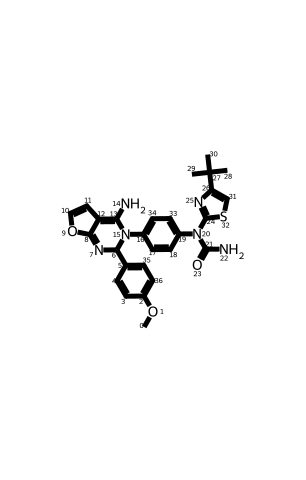 COc1ccc(C2N=c3occc3=C(N)N2c2ccc(N(C(N)=O)c3nc(C(C)(C)C)cs3)cc2)cc1